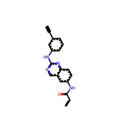 C#Cc1cccc(Nc2ncc3cc(NC(=O)C=C)ccc3n2)c1